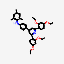 CCOc1ccc(-c2cc(-c3ccc(Nc4c(C)cc(C)cc4C)cc3)cc(-c3ccc(OCC)cc3OCC)n2)c(OCC)c1